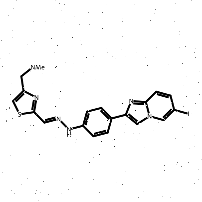 CNCc1csc(C=NNc2ccc(-c3cn4cc(I)ccc4n3)cc2)n1